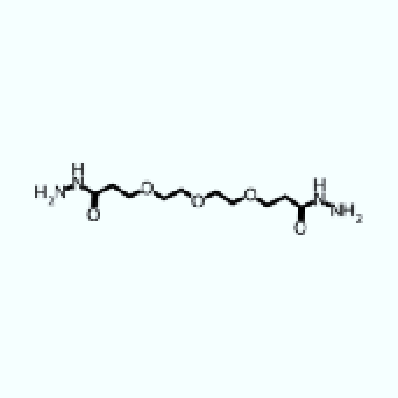 NNC(=O)CCOCCOCCOCCC(=O)NN